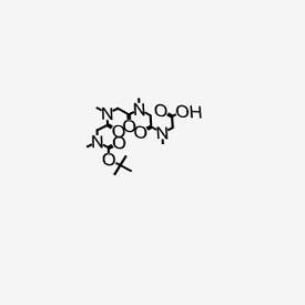 CN(CC(=O)O)C(=O)CN(C)C(=O)CN(C)C(=O)CN(C)C(=O)OC(C)(C)C